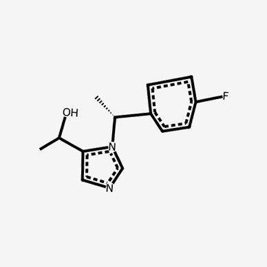 CC(O)c1cncn1[C@H](C)c1ccc(F)cc1